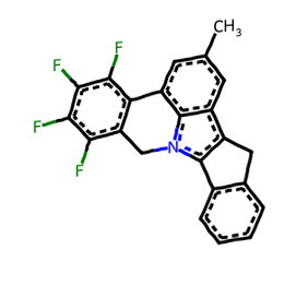 Cc1cc2c3c(c1)c1c(n3Cc3c(F)c(F)c(F)c(F)c3-2)-c2ccccc2C1